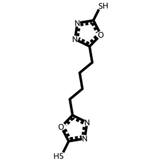 Sc1nnc(CCCCc2nnc(S)o2)o1